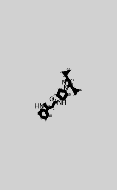 O=C(Cc1c[nH]c2ccccc12)Nc1ccc(-n2nc(C3CC3)cc2C2CC2)cc1